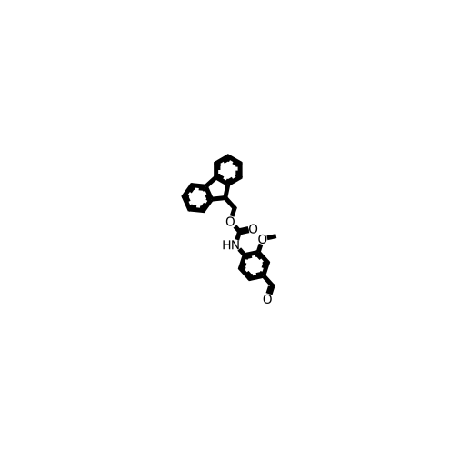 COc1cc(C=O)ccc1NC(=O)OCC1c2ccccc2-c2ccccc21